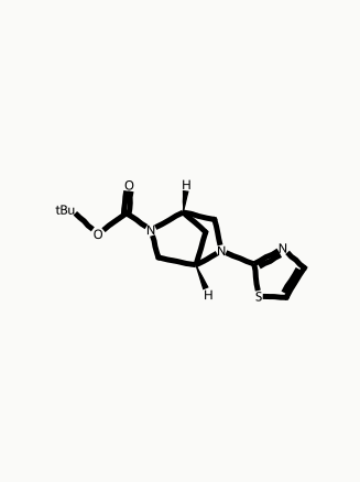 CC(C)(C)OC(=O)N1C[C@@H]2C[C@H]1CN2c1nccs1